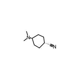 CN(C)[C@H]1CC[C@H](C#N)CC1